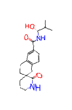 CC(C)[C@@H](O)NC(=O)c1ccc2c(c1)CCC1(CCCNC1=O)C2